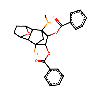 CPC12CC(P)(C(OC(=O)c3ccccc3)C1OC(=O)c1ccccc1)C1C3CCC(O3)C12